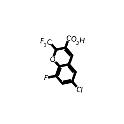 O=C(O)C1=Cc2cc(Cl)cc(F)c2OC1C(F)(F)F